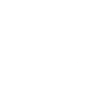 CCOc1ccc(-c2c(CCCC=O)cc(OCOC)c3cc(OC)c(OC)c(OC)c23)cc1OCC